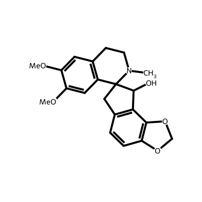 COc1cc2c(cc1OC)C1(Cc3ccc4c(c3C1O)OCO4)N(C)CC2